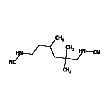 CC(CCNC#N)CC(C)(C)CNC#N